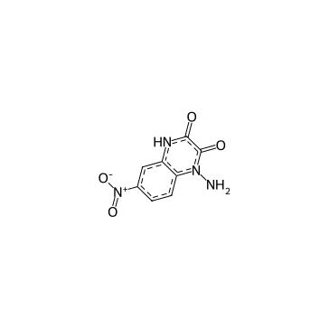 Nn1c(=O)c(=O)[nH]c2cc([N+](=O)[O-])ccc21